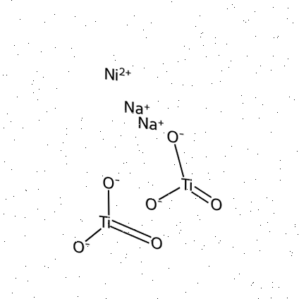 [Na+].[Na+].[Ni+2].[O]=[Ti]([O-])[O-].[O]=[Ti]([O-])[O-]